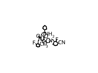 N#Cc1cccc(CN2CCC3(CC2)OCc2c3c(=O)n(C[C@H](N)c3ccccc3)c(=O)n2Cc2c(F)cccc2C(F)(F)F)c1F